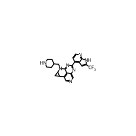 FC(F)(F)c1cc2c(-c3nc4c5c(cncc5n3)C3CC3N4CC3CCNCC3)ccnc2[nH]1